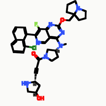 CN(c1nc(OCC23CCCN2CCC3)nc2c(F)c(-c3cccc4cccc(Cl)c34)ncc12)[C@@H]1CCN(C(=O)C#C[C@@H]2C[C@@H](O)CN2)C1